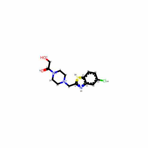 O=C(CO)N1CCN(Cc2nc3cc(Cl)ccc3s2)CC1